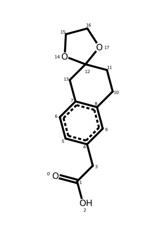 O=C(O)Cc1ccc2c(c1)CCC1(C2)OCCO1